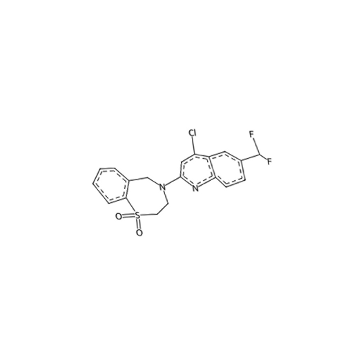 O=S1(=O)CCN(c2cc(Cl)c3cc(C(F)F)ccc3n2)Cc2ccccc21